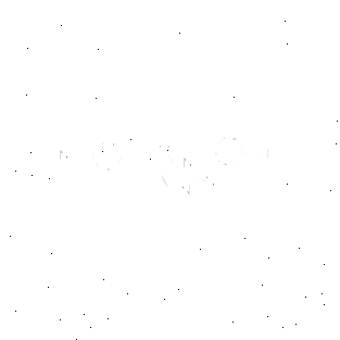 N#Cc1cccc(CC2CCC3=C(C2)C(=O)N(Cc2ccc(C(F)(F)F)cc2)C2=NCCN23)c1